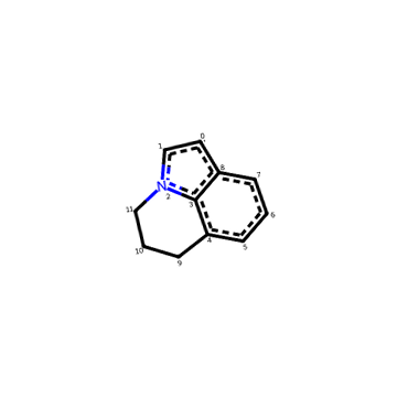 [c]1cn2c3c(cccc13)CCC2